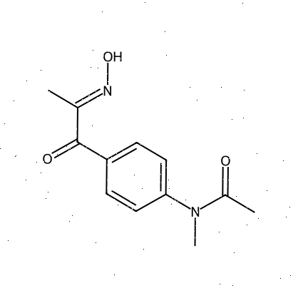 CC(=O)N(C)c1ccc(C(=O)C(C)=NO)cc1